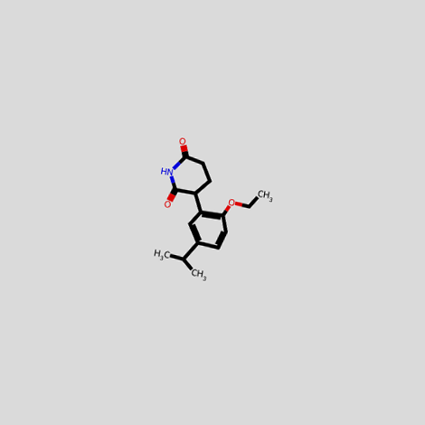 CCOc1ccc(C(C)C)cc1C1CCC(=O)NC1=O